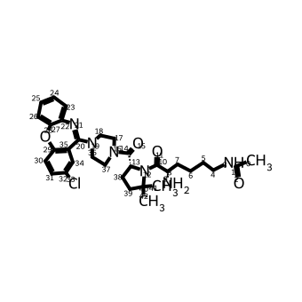 CC(=O)NCCCC[C@H](N)C(=O)N1[C@@H](C(=O)N2CCN(C3=Nc4ccccc4Oc4ccc(Cl)cc43)CC2)CCC1(C)C